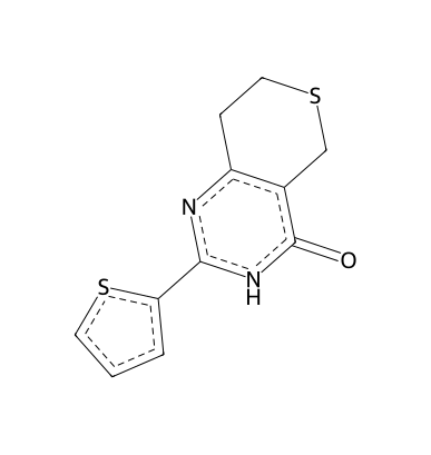 O=c1[nH]c(-c2cccs2)nc2c1CSCC2